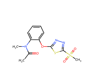 CC(=O)N(C)c1ccccc1Oc1nnc(S(C)(=O)=O)s1